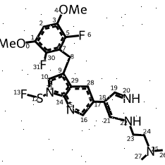 COc1cc(OC)c(F)c(Cc2cn(SF)c3ncc(/C(C=N)=C/NCCN(C)C)cc23)c1F